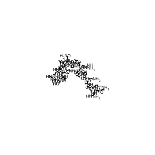 CSCC[C@H](NC(=O)[C@H](CCCNC(=N)N)NC(=O)[C@H](C)NC(=O)[C@H](CCCCN)NC(=O)[C@H](CC(C)C)NC(=O)[C@H](CCC(N)=O)NC(=O)[C@@H]1CCCN1C(=O)[C@@H](NC(=O)[C@H](CCCNC(=N)N)NC(=O)[C@H](CO)NC(=O)[C@@H](NC(=O)[C@@H]1CCCN1C(=O)[C@H](CCCCN)NC(=O)CNC(=O)[C@H](CCCNC(=N)N)NC(=O)[C@@H]1CCCN1C(=O)[C@H](C)NC(=O)[C@H](C)N)C(C)C)C(C)C)C(=O)N[C@H](C(=O)N[C@@H](CO)C(=O)O)C(C)C